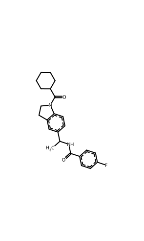 CC(NC(=O)c1ccc(F)cc1)c1ccc2c(c1)CCN2C(=O)C1CCCCC1